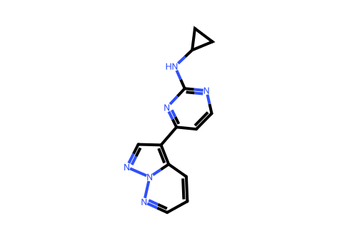 c1cnn2ncc(-c3ccnc(NC4CC4)n3)c2c1